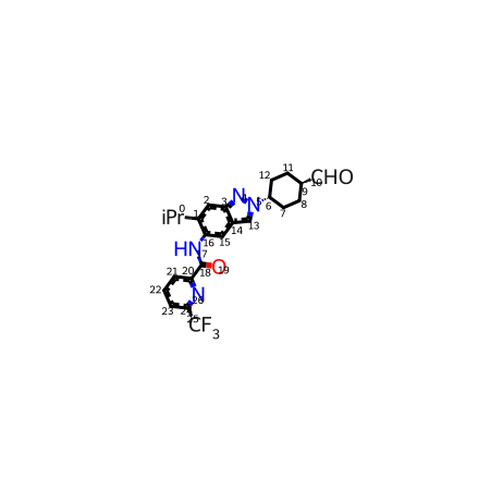 CC(C)c1cc2nn([C@H]3CC[C@H](C=O)CC3)cc2cc1NC(=O)c1cccc(C(F)(F)F)n1